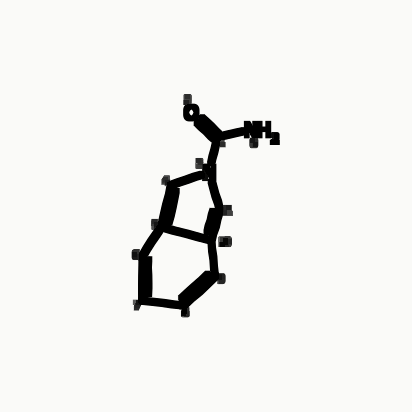 NC(=O)n1cc2ccccc2c1